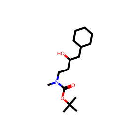 CN(CCC(O)CC1CCCCC1)C(=O)OC(C)(C)C